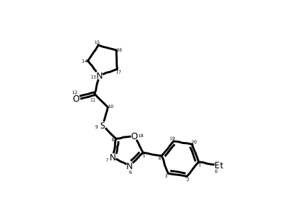 CCc1ccc(-c2nnc(SCC(=O)N3CCCC3)o2)cc1